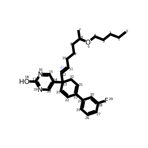 CCCCCOC(C)CCC/C=C/C1(c2cnc(O)nc2)C=CC(c2cccc(F)c2)=CC1